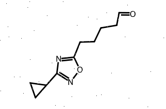 O=CCCCCc1nc(C2CC2)no1